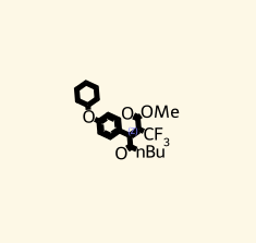 CCCCC(=O)/C(=C(/C(=O)OC)C(F)(F)F)c1ccc(OC2CCCCC2)cc1